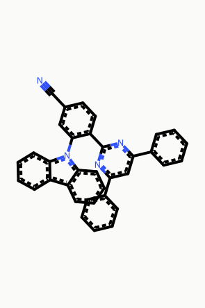 N#Cc1ccc(-c2nc(-c3ccccc3)cc(-c3ccccc3)n2)c(-n2c3ccccc3c3ccccc32)c1